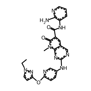 CCn1ccc(Oc2ccc(Nc3ncc4cc(C(=O)Nc5cccnc5N)c(=O)n(C)c4n3)cn2)n1